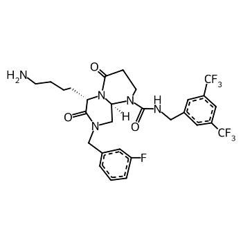 NCCCC[C@H]1C(=O)N(Cc2cccc(F)c2)C[C@@H]2N(C(=O)NCc3cc(C(F)(F)F)cc(C(F)(F)F)c3)CCC(=O)N21